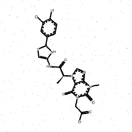 CCC(=O)Cn1c(=O)c2c(ncn2[C@@H](C)C(=O)NC2=CSC(c3ccc(Cl)c(Cl)c3)N2)n(C)c1=O